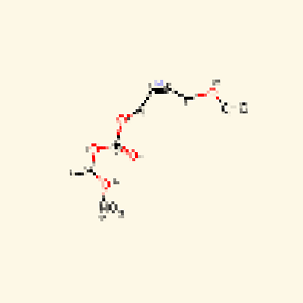 CC(OC(=O)OC/C=C\COC=O)O[N+](=O)[O-]